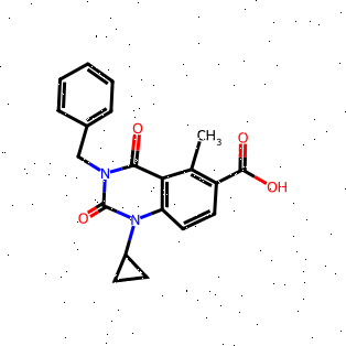 Cc1c(C(=O)O)ccc2c1c(=O)n(Cc1ccccc1)c(=O)n2C1CC1